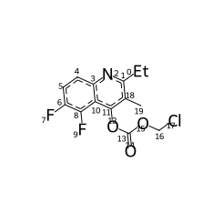 CCc1nc2ccc(F)c(F)c2c(OC(=O)OCCl)c1C